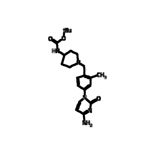 Cc1cc(-n2ccc(N)nc2=O)ccc1CN1CCC(NC(=O)OC(C)(C)C)CC1